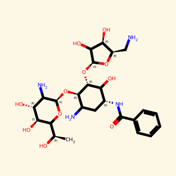 C[C@@H](O)C1O[C@H](O[C@@H]2C(N)C[C@@H](NC(=O)c3ccccc3)C(O)[C@H]2O[C@@H]2O[C@H](CN)[C@H](O)C2O)C(N)[C@@H](O)[C@@H]1O